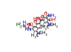 CN(C)c1cc(NC(=O)CNCCF)c(O)c2c1CC1CC3[C@H](N(C)C)C(O)=C(C(N)=O)C(=O)[C@@]3(O)C(O)=C1C2=O